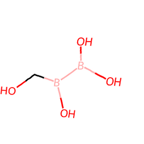 OCB(O)B(O)O